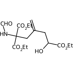 C=C(CC(O)C(=O)OCC)CC(NC=O)(C(=O)OCC)C(=O)OCC